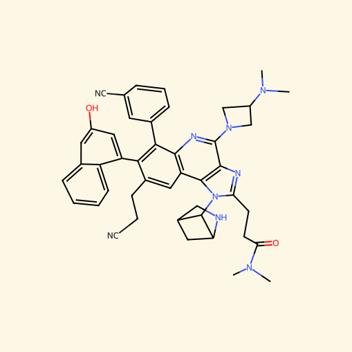 CN(C)C(=O)CCc1nc2c(N3CC(N(C)C)C3)nc3c(-c4cccc(C#N)c4)c(-c4cc(O)cc5ccccc45)c(CCC#N)cc3c2n1C1C2CNC1C2